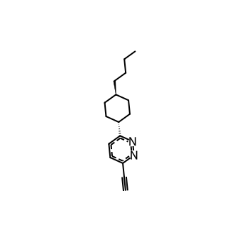 C#Cc1ccc([C@H]2CC[C@H](CCCC)CC2)nn1